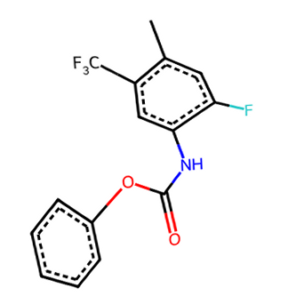 Cc1cc(F)c(NC(=O)Oc2ccccc2)cc1C(F)(F)F